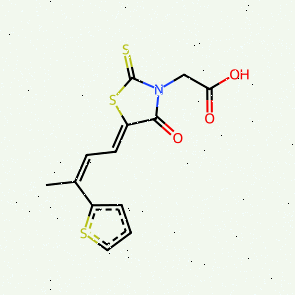 CC(=CC=C1SC(=S)N(CC(=O)O)C1=O)c1cccs1